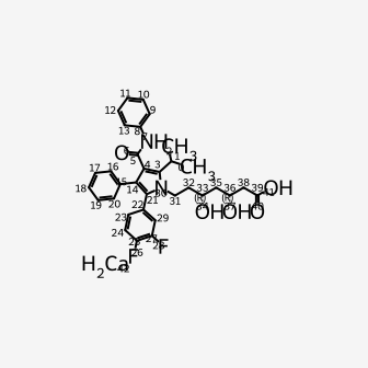 CC(C)c1c(C(=O)Nc2ccccc2)c(-c2ccccc2)c(-c2ccc(F)c(F)c2)n1CC[C@@H](O)C[C@@H](O)CC(=O)O.[CaH2]